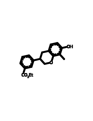 CCOC(=O)c1cccc(C2COc3c(ccc(O)c3C)C2)c1